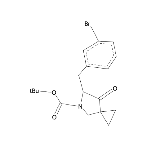 CC(C)(C)OC(=O)N1CC2(CC2)C(=O)C1Cc1cccc(Br)c1